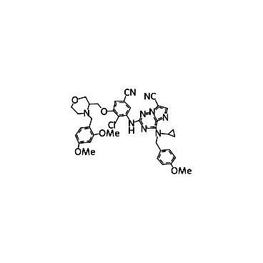 COc1ccc(CN(c2nc(Nc3cc(C#N)cc(OCC4COCCN4Cc4ccc(OC)cc4OC)c3Cl)nn3c(C#N)cnc23)C2CC2)cc1